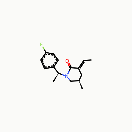 C/C=C1\C[C@@H](C)CN([C@@H](C)c2ccc(F)cc2)C1=O